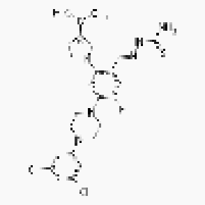 CN(C)[C@@H]1CCN(c2cc(N3CCN(c4cc(Cl)cc(Cl)c4)CC3)c(F)cc2C=NNC(N)=S)C1